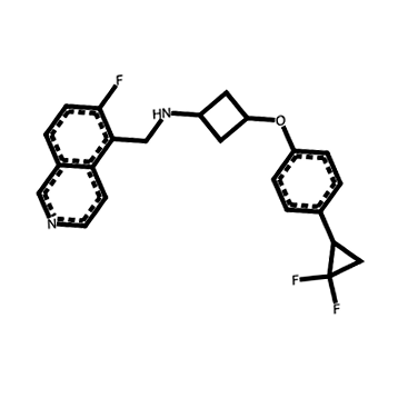 Fc1ccc2cnccc2c1CNC1CC(Oc2ccc(C3CC3(F)F)cc2)C1